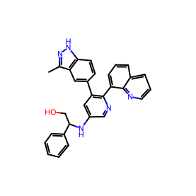 Cc1n[nH]c2ccc(-c3cc(NC(CO)c4ccccc4)cnc3-c3cccc4cccnc34)cc12